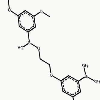 COc1cc(OC)cc(B(O)OCCOc2cc(F)cc(B(O)O)c2)c1